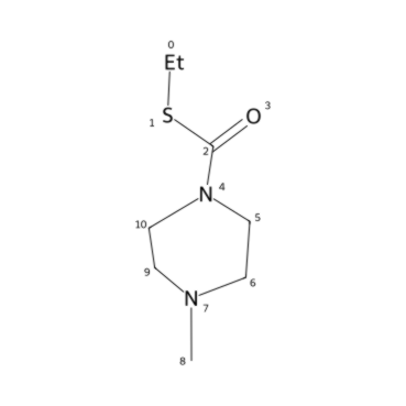 CCSC(=O)N1CCN(C)CC1